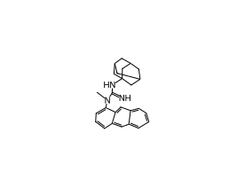 CN(C(=N)NC12CC3CC(CC(C3)C1)C2)c1cccc2cc3ccccc3cc12